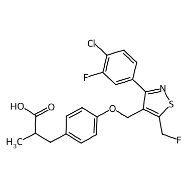 CC(Cc1ccc(OCc2c(-c3ccc(Cl)c(F)c3)nsc2CF)cc1)C(=O)O